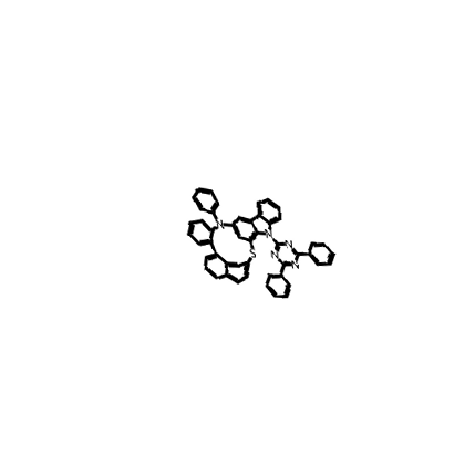 c1ccc(-c2nc(-c3ccccc3)nc(-n3c4ccccc4c4cc5cc(sc6ccc7cccc(c7c6)c6ccccc6n5-c5ccccc5)c43)n2)cc1